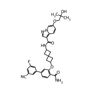 CC(C)(O)COc1ccc2c(C(=O)NC3CC4(C3)CC(Oc3cc(-c5cc(F)cc(C#N)c5)ccc3C(N)=O)C4)cnn2c1